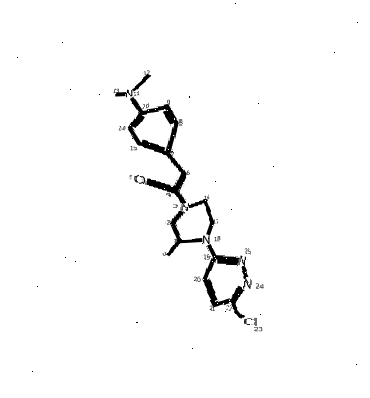 CC1CN(C(=O)Cc2ccc(N(C)C)cc2)CCN1c1ccc(Cl)nn1